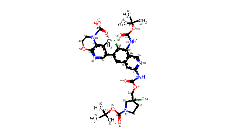 Cc1c(-c2cc3cc(NC(=O)OCC4(F)CCN(C(=O)OC(C)(C)C)C4)ncc3c(NC(=O)OC(C)(C)C)c2F)cnc2c1N(C(=O)O)CCO2